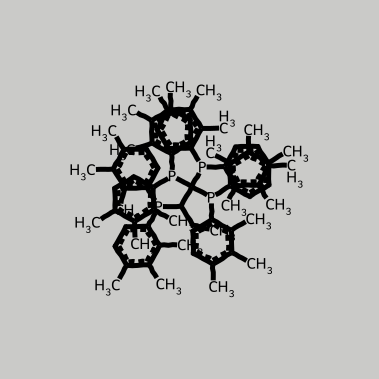 CCC(P(c1ccc(C)c(C)c1C)c1ccc(C)c(C)c1C)C(P(c1ccc(C)c(C)c1C)c1ccc(C)c(C)c1C)(P(c1ccc(C)c(C)c1C)c1ccc(C)c(C)c1C)P(c1ccc(C)c(C)c1C)c1ccc(C)c(C)c1C